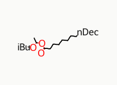 CCCCCCCCCCCCCCCCCC(=O)OC(C)OC(C)CC